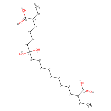 CCC(CCCCCCCCCC(O)(O)CCCCC(CC)C(=O)O)C(=O)O